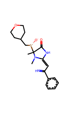 CN1/C(=C\C(=N)c2ccccc2)NC(=O)C1(C)[S@@+]([O-])CC1CCOCC1